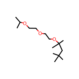 CC(C)OCCOCCOC(C)(C)CC(C)(C)C